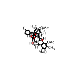 COc1c(C)cc2c(c1O)[C@H]1C3[C@@H]4SC[C@]5(NC(C)Cc6c5[nH]c5ccc(F)cc65)C(=O)COC[C@@H](c5c6c(c(C)c(OC(C)=O)c54)OCO6)N3[C@@H](O)[C@@H](C2)N1C